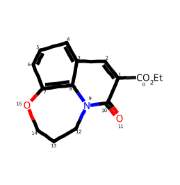 CCOC(=O)c1cc2cccc3c2n(c1=O)CCCO3